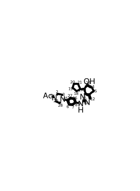 CC(=O)N1CCN(c2ccc(Nc3ncc4c(n3)C(C3CCCC3)C(O)=CC4)cc2)CC1